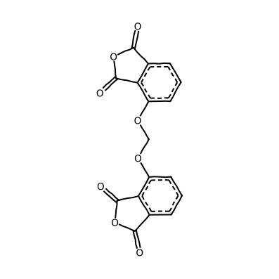 O=C1OC(=O)c2c(OCOc3cccc4c3C(=O)OC4=O)cccc21